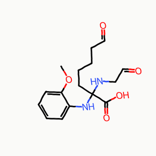 COc1ccccc1NC(CCCCC=O)(NCC=O)C(=O)O